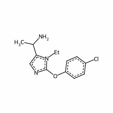 CCn1c(C(C)N)cnc1Oc1ccc(Cl)cc1